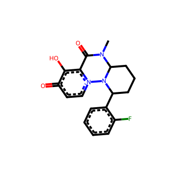 CN1C(=O)c2c(O)c(=O)ccn2N2C(c3ccccc3F)CCCC12